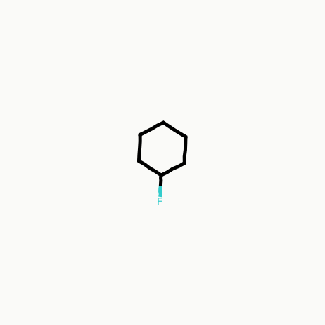 FC1CC[CH]CC1